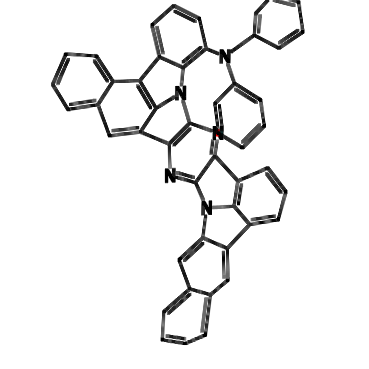 c1ccc(N(c2ccccc2)c2cccc3c4c5ccccc5cc5c6nc7c(nc6n(c23)c54)c2cccc3c4cc5ccccc5cc4n7c32)cc1